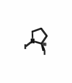 I[C@@H]1CCCN1I